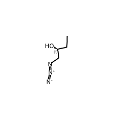 CC[C@H](O)CN=[N+]=[N-]